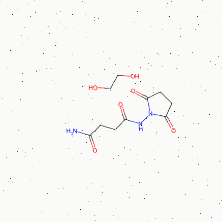 NC(=O)CCC(=O)NN1C(=O)CCC1=O.OCCO